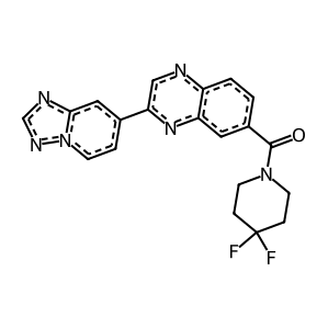 O=C(c1ccc2ncc(-c3ccn4ncnc4c3)nc2c1)N1CCC(F)(F)CC1